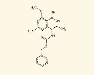 CC[C@@H](NC(=O)OCc1ccccc1)c1cc(C)cc(OC)c1B(O)O